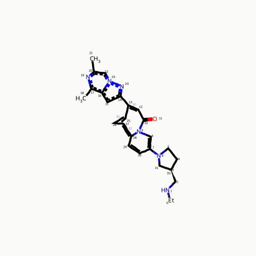 CCNC[C@@H]1CCN(C2=CN3C(=O)\C=C(c4cc5c(C)nc(C)cn5n4)/C=C/C=C/3C=C2)C1